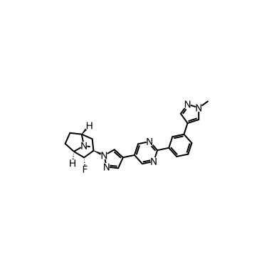 CN1[C@@H]2CC[C@@H]1[C@@H](F)[C@H](n1cc(-c3cnc(-c4cccc(-c5cnn(C)c5)c4)nc3)cn1)C2